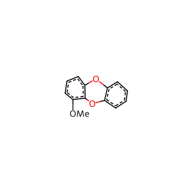 COc1cccc2c1Oc1ccccc1O2